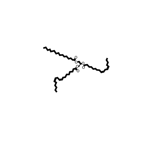 CCCC/C=C\C/C=C\CCCCCCCC(=O)O[C@@H](COC(=O)CCCCCCC/C=C\C/C=C\CCCCC)COC(=O)CCCCCCCCCCCCCCC